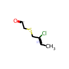 C/C=C(\Cl)CSC[C]=O